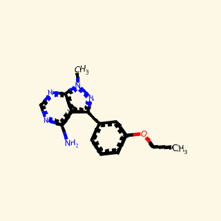 CCOc1cccc(-c2nn(C)c3ncnc(N)c23)c1